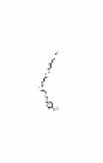 CCCCCCCCCCCCCCCC1OCC(COC(=O)Oc2ccc([N+](=O)[O-])cc2)O1